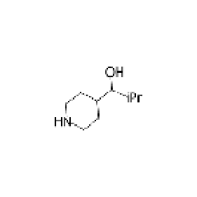 CC(C)C(O)C1CCNCC1